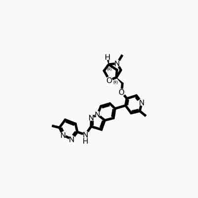 Cc1cc(-c2ccn3nc(Nc4ccc(C)nn4)cc3c2)c(OC[C@]23C[C@H](CO2)N(C)C3)cn1